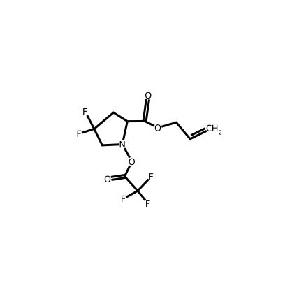 C=CCOC(=O)C1CC(F)(F)CN1OC(=O)C(F)(F)F